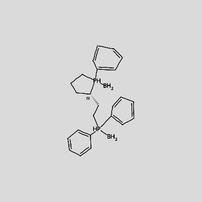 B[PH](CC[C@@H]1CCC[PH]1(B)c1ccccc1)(c1ccccc1)c1ccccc1